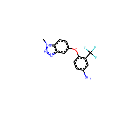 Cn1nnc2cc(Oc3ccc(N)cc3C(F)(F)F)ccc21